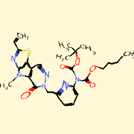 C=Cc1nc2c(s1)c1cnn(Cc3cccc(N(C(=O)OCCCC)C(=O)OC(C)(C)C)n3)c(=O)c1n2C